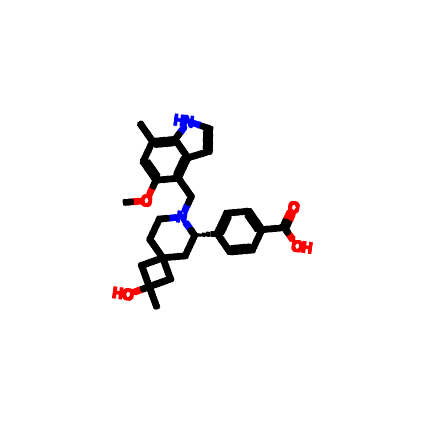 COc1cc(C)c2[nH]ccc2c1CN1CCC2(C[C@H]1c1ccc(C(=O)O)cc1)CC(C)(O)C2